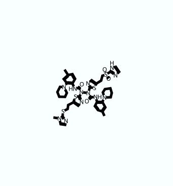 Cc1ccc(NC(=O)N(c2ncc(CCSc3nccn3C)s2)N(C(=O)Nc2ccc(C)cc2N2CCCCC2)c2ncc(CCS(=O)(=O)c3ncc[nH]3)s2)c(N2CCCCC2)c1